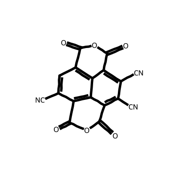 N#Cc1cc2c3c(c(C#N)c(C#N)c4c3c1C(=O)OC4=O)C(=O)OC2=O